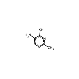 Cc1ncc(N)c(S)n1